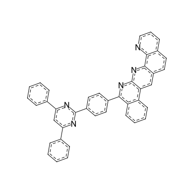 c1ccc(-c2cc(-c3ccccc3)nc(-c3ccc(-c4nc5nc6c(ccc7cccnc76)cc5c5ccccc45)cc3)n2)cc1